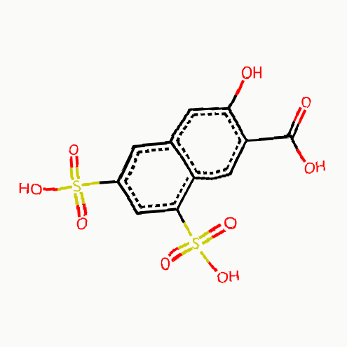 O=C(O)c1cc2c(S(=O)(=O)O)cc(S(=O)(=O)O)cc2cc1O